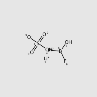 O=S(=O)([O-])O.OB(F)F.[Li+]